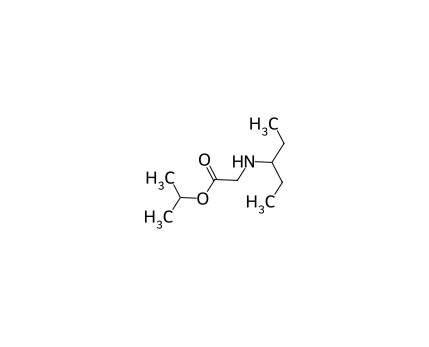 CCC(CC)NCC(=O)OC(C)C